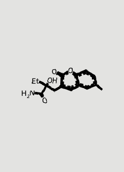 CCC(O)(Cc1cc2cc(C)ccc2oc1=O)C(N)=O